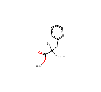 CCCCOC(=O)C(CC)(Cc1ccccc1)C(=O)OCC